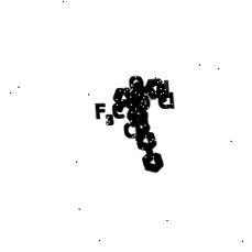 O=C(c1ccnc(Cl)c1)[NH+]([O-])c1cccc(C(F)(F)F)c1C1CCN(CC2(Cl)C=CC(c3ccccc3)=CC2)CC1